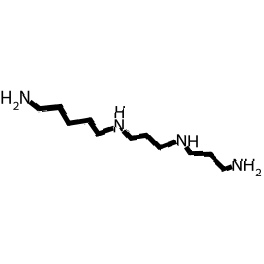 NCCCCCNCCCNCCCN